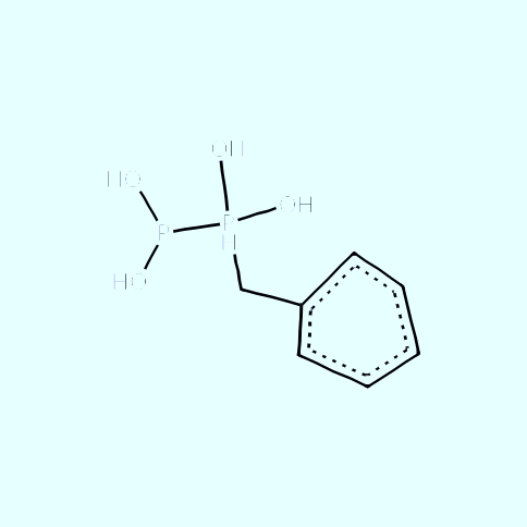 OP(O)[PH](O)(O)Cc1ccccc1